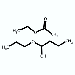 CCCOC(O)CCC.CCOC(C)=O